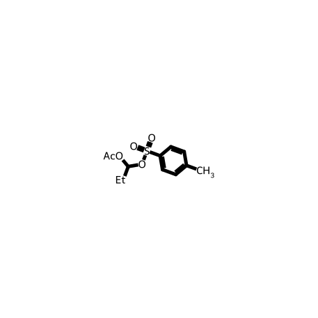 CCC(OC(C)=O)OS(=O)(=O)c1ccc(C)cc1